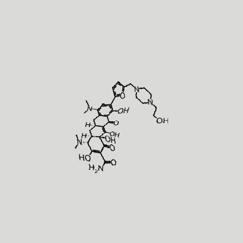 CN(C)c1cc(-c2ccc(CN3CCN(CCO)CC3)o2)c(O)c2c1C[C@@H]1C[C@@H]3[C@@H](N(C)C)C(O)=C(C(N)=O)C(=O)[C@@]3(O)C(O)=C1C2=O